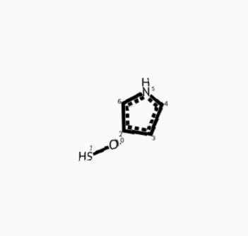 [O]S.c1cc[nH]c1